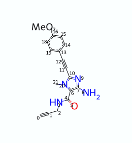 C#CCNC(=O)c1c(N)nc(C#Cc2ccc(OC)cc2)n1C